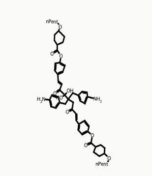 CCCCCOC1CCC(C(=O)Oc2ccc(/C=C/C(=O)CC(Cc3ccc(N)cc3)(Cc3ccc(N)cc3)C(O)(O)C(=O)/C=C/c3ccc(OC(=O)C4CCC(OCCCCC)CC4)cc3)cc2)CC1